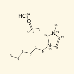 CC(C)=O.CCCCCCN1C=CN(C)C1.Cl